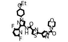 CCO[C@H]1CC[C@H](n2cc(NC(=O)c3csc(-c4cnn(C(=O)N5CCOCC5)c4)n3)c(-c3nc(F)ccc3F)n2)CC1